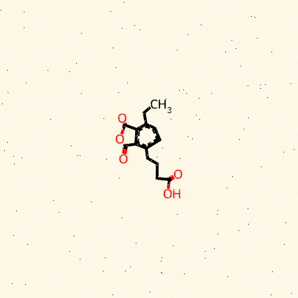 CCc1ccc(CCCC(=O)O)c2c1C(=O)OC2=O